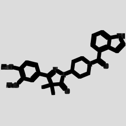 COc1ccc(C2=NN(C3CCN(C(=O)c4cccc5[nH]ccc45)CC3)C(=O)C2(C)C)cc1OC